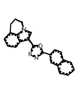 c1ccc2cc(-c3nnc(-c4cn5c6c(cccc46)CCC5)o3)ccc2c1